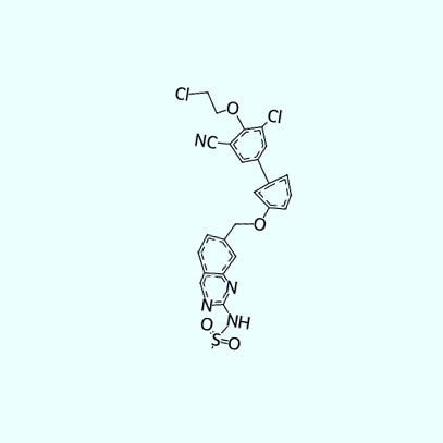 CS(=O)(=O)Nc1ncc2ccc(COc3cccc(-c4cc(Cl)c(OCCCl)c(C#N)c4)c3)cc2n1